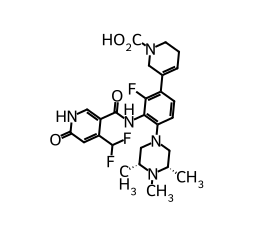 C[C@@H]1CN(c2ccc(C3=CCCN(C(=O)O)C3)c(F)c2NC(=O)c2c[nH]c(=O)cc2C(F)F)C[C@H](C)N1C